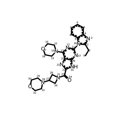 CCc1nc2ccccc2n1-c1nc(N2CCOCC2)c2nc(C(=O)N3CC(N4CCOCC4)C3)[nH]c2n1